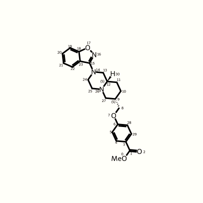 COC(=O)c1ccc(OC[C@H]2CC[C@H]3CN(c4noc5ccccc45)CCN3C2)cc1